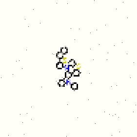 c1ccc(-n2c3ccccc3c3cc(N(c4cccc5c4sc4c6ccccc6ccc54)c4cccc5sc6ccccc6c45)ccc32)cc1